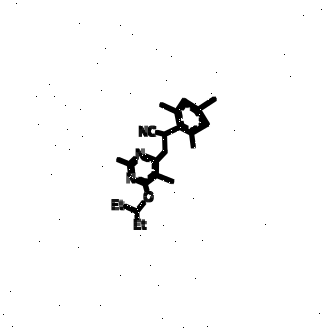 CCC(CC)Oc1nc(C)nc(CC(C#N)c2c(C)cc(C)cc2C)c1C